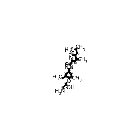 CCc1cc(-c2noc(-c3cc(C)c(CC(C)C)cn3)n2)cc(C)c1OC[C@@H](O)CN